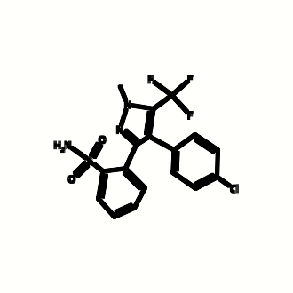 Cn1nc(-c2ccccc2S(N)(=O)=O)c(-c2ccc(Cl)cc2)c1C(F)(F)F